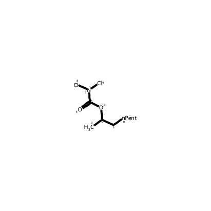 CCCCCCC(C)OC(=O)N(Cl)Cl